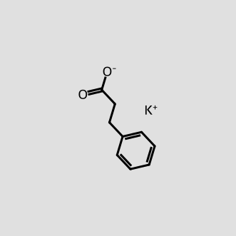 O=C([O-])CCc1ccccc1.[K+]